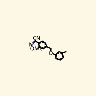 CO/N=C(/C#N)c1ccc(COc2cccc(C)c2)cc1